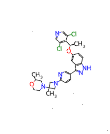 C[C@H]1CN(C2(C)CN(c3ccc(-c4n[nH]c5ccc(O[C@H](C)c6c(Cl)cncc6Cl)cc45)cn3)C2)CCO1